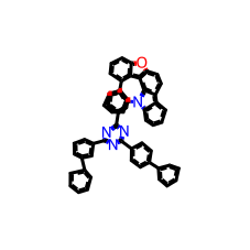 c1ccc(-c2ccc(-c3nc(-c4ccc(-c5cccc6oc7ccc8c9ccccc9n(-c9ccccc9)c8c7c56)cc4)nc(-c4cccc(-c5ccccc5)c4)n3)cc2)cc1